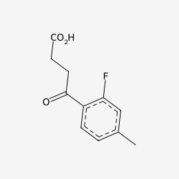 Cc1ccc(C(=O)CCC(=O)O)c(F)c1